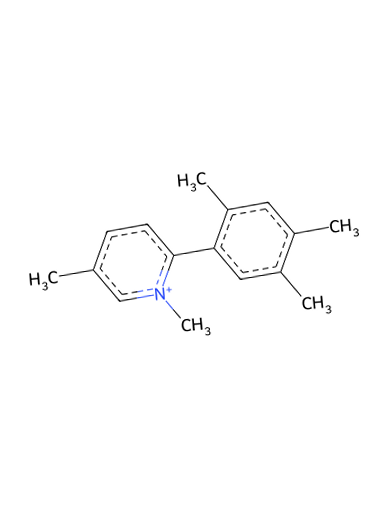 Cc1ccc(-c2cc(C)c(C)cc2C)[n+](C)c1